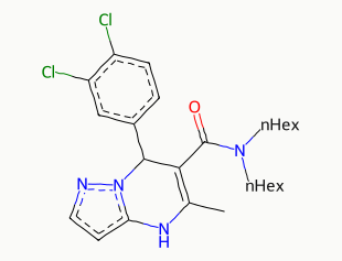 CCCCCCN(CCCCCC)C(=O)C1=C(C)Nc2ccnn2C1c1ccc(Cl)c(Cl)c1